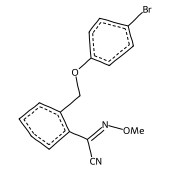 CON=C(C#N)c1ccccc1COc1ccc(Br)cc1